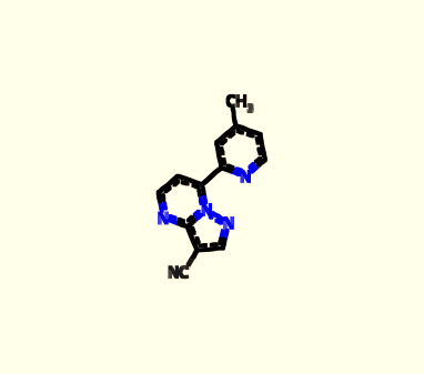 Cc1ccnc(-c2ccnc3c(C#N)cnn23)c1